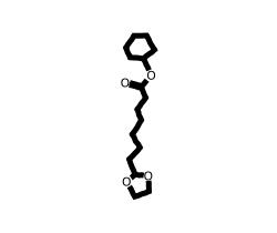 O=C(CCCCCCC1OCCO1)OC1CCCCC1